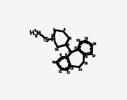 NSN1CCCC(C2c3ccccc3CCc3ccccc32)C1